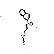 [O-][S+](C=CCCN=C=S)c1ccc2ccccc2c1